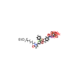 CCOC(=O)CCCCCCN1C(=O)CC[C@@H]1/C=C/[C@@H](OC(=O)Cc1ccc(C(=O)NCCC(O)(P(=O)(O)O)P(=O)(O)O)cc1)C(F)(F)c1ccccc1